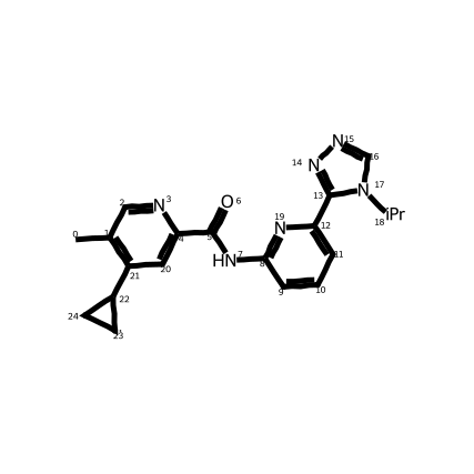 Cc1cnc(C(=O)Nc2cccc(-c3nncn3C(C)C)n2)cc1C1[CH]C1